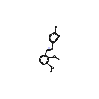 COc1cccc(/C=C/c2ccc(F)cc2)c1OC